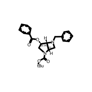 CC(C)(C)OC(=O)N1C[C@@H](OC(=O)c2ccccc2)[C@H]2[C@@H]1CN2Cc1ccccc1